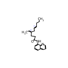 C/C=C(/C/C=C/CCC)CCC(=O)Nc1cccc2cccnc12